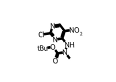 CN(Nc1nc(Cl)ncc1[N+](=O)[O-])C(=O)OC(C)(C)C